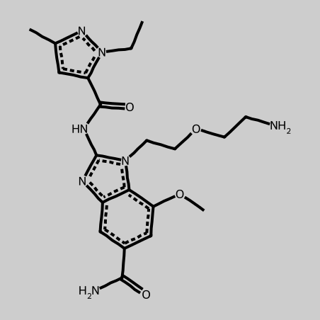 CCn1nc(C)cc1C(=O)Nc1nc2cc(C(N)=O)cc(OC)c2n1CCOCCN